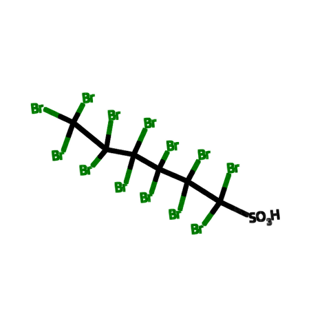 O=S(=O)(O)C(Br)(Br)C(Br)(Br)C(Br)(Br)C(Br)(Br)C(Br)(Br)C(Br)(Br)Br